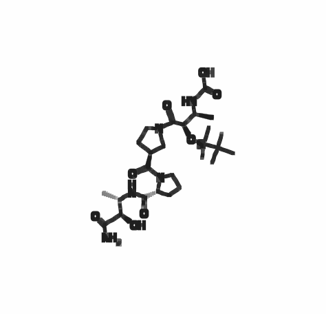 C[C@H](NC(=O)[C@H]1CCCN1C(=O)[C@H]1CCN(C(=O)[C@H](O[Si](C)(C)C(C)(C)C)[C@H](C)NC(=O)O)C1)[C@@H](O)C(N)=O